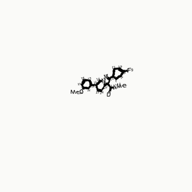 CNC(=O)c1c(-c2ccc(F)cc2)nn2cc(-c3cccc(OC)c3)ccc12